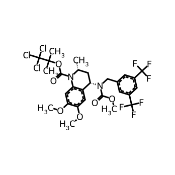 COC(=O)N(Cc1cc(C(F)(F)F)cc(C(F)(F)F)c1)[C@H]1C[C@@H](C)N(C(=O)OC(C)(C)C(Cl)(Cl)Cl)c2cc(OC)c(OC)cc21